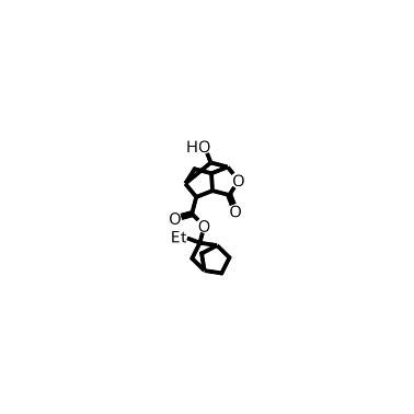 CCC1(OC(=O)C2C3CC4C(OC(=O)C42)C3O)CC2CCC1C2